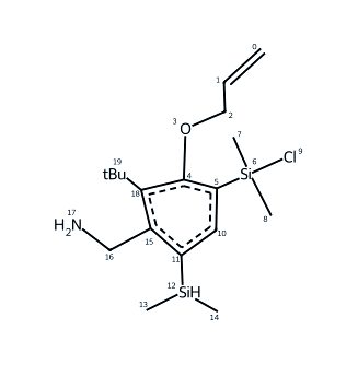 C=CCOc1c([Si](C)(C)Cl)cc([SiH](C)C)c(CN)c1C(C)(C)C